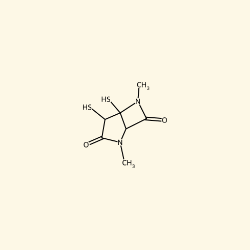 CN1C(=O)C(S)C2(S)C1C(=O)N2C